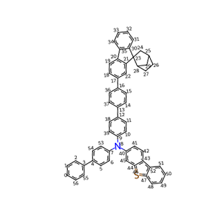 c1ccc(-c2ccc(N(c3ccc(-c4ccc(-c5ccc6c(c5)C5(CC7CCC5C7)c5ccccc5-6)cc4)cc3)c3ccc4c(c3)sc3ccccc34)cc2)cc1